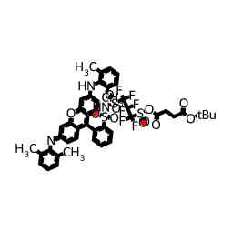 Cc1cccc(C)c1/N=c1\ccc2c(-c3ccccc3S(=O)(=O)NS(=O)(=O)C(F)(F)C(F)(F)C(F)(F)S(=O)(=O)OC(=O)CCC(=O)OC(C)(C)C)c3ccc(Nc4c(C)cccc4C)cc3oc-2c1